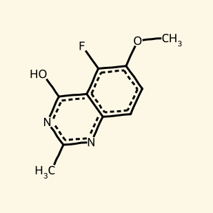 COc1ccc2nc(C)nc(O)c2c1F